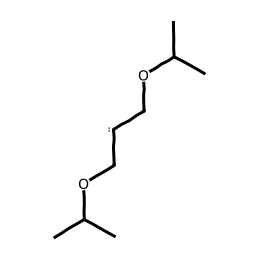 CC(C)OC[C]COC(C)C